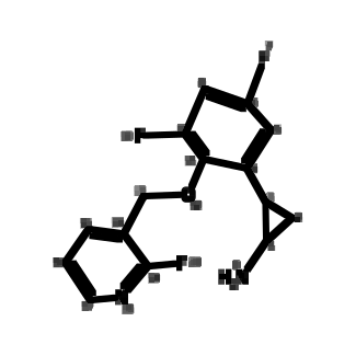 NC1CC1c1cc(F)cc(F)c1OCc1cccnc1F